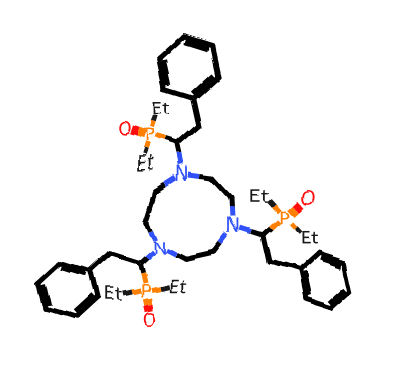 CCP(=O)(CC)C(Cc1ccccc1)N1CCN(C(Cc2ccccc2)P(=O)(CC)CC)CCN(C(Cc2ccccc2)P(=O)(CC)CC)CC1